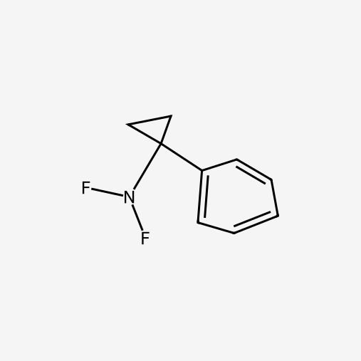 FN(F)C1(c2ccccc2)CC1